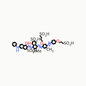 COc1cc(N=Nc2cc(C)c(N=Nc3ccc(OCCCS(=O)(=O)O)cc3)cc2OCCCCS(=O)(=O)O)c2cc(S(=O)(=O)O)ccc2c1N=Nc1c(S(=O)(=O)O)cc2cc(Nc3ccccc3)ccc2c1O